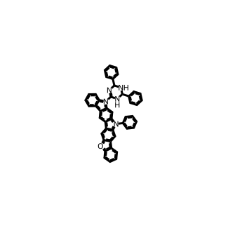 c1ccc(C2N=C(n3c4ccccc4c4cc5c6cc7oc8ccccc8c7cc6n(-c6ccccc6)c5cc43)NC(c3ccccc3)N2)cc1